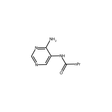 CCCC(=O)Nc1cncnc1N